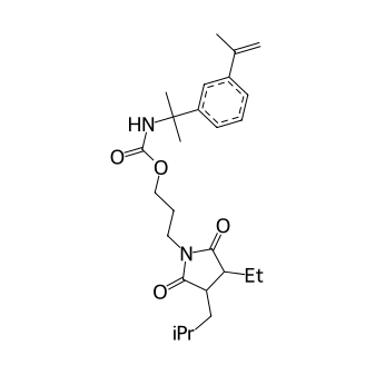 C=C(C)c1cccc(C(C)(C)NC(=O)OCCCN2C(=O)C(CC)C(CC(C)C)C2=O)c1